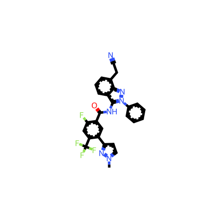 Cn1ccc(-c2cc(C(=O)Nc3c4cccc(CC#N)c4nn3-c3ccccc3)c(F)cc2C(F)(F)F)n1